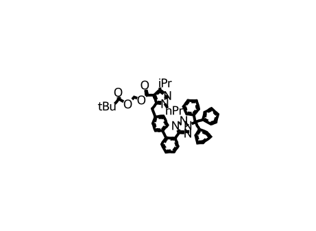 CCCn1nc(C(C)C)c(C(=O)OCOC(=O)C(C)(C)C)c1Cc1ccc(-c2ccccc2-c2nnn(C(c3ccccc3)(c3ccccc3)c3ccccc3)n2)cc1